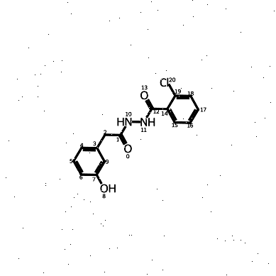 O=C(Cc1cccc(O)c1)NNC(=O)c1ccccc1Cl